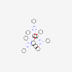 c1ccc(-c2nc(-c3ccccc3)nc(-c3ccccc3-c3ccc4c(c3)c3cc(-c5ccccc5-c5nc(-c6ccccc6)nc(-c6ccccc6)n5)ccc3n4-c3ccccc3-c3nc(-c4ccccc4)nc(-c4ccccc4)n3)n2)cc1